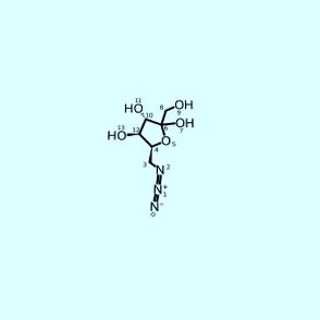 [N-]=[N+]=NC[C@@H]1OC(O)(CO)[C@@H](O)[C@@H]1O